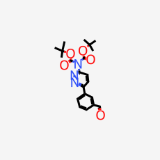 CC(C)(C)OC(=O)N(C(=O)OC(C)(C)C)c1ccc(-c2cccc(C=O)c2)nn1